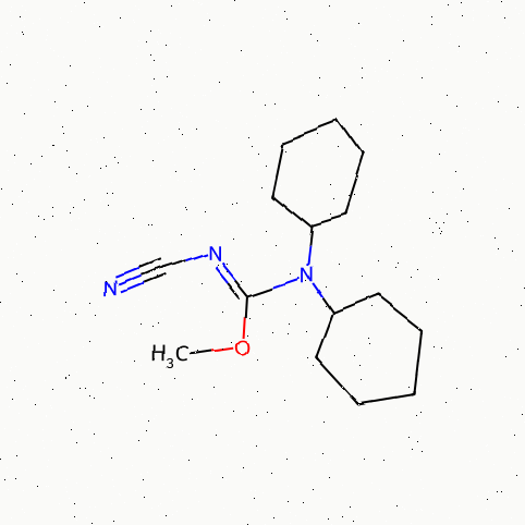 COC(=NC#N)N(C1CCCCC1)C1CCCCC1